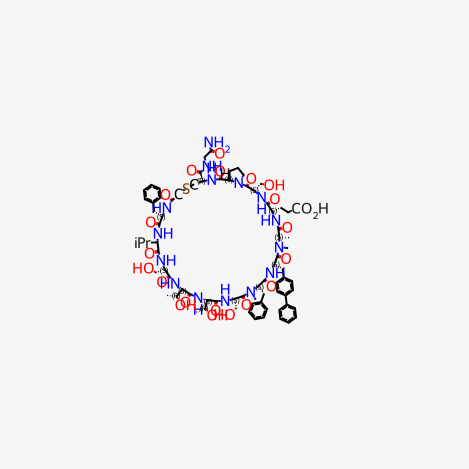 CC(C)C1NC(=O)[C@H](Cc2ccccc2)NC(=O)CSC[C@@H](C(=O)NCC(N)=O)NC(=O)[C@@H]2CCCN2C(=O)[C@H](CO)NC(=O)[C@H](CCC(=O)O)NC(=O)[C@H](C)N(C)C(=O)[C@H](Cc2ccc(-c3ccccc3)cc2)NC(=O)[C@H](Cc2ccccc2)N(C)C(=O)[C@H](CO)NC(=O)[C@H]([C@@H](C)O)NC(=O)[C@H]([C@@H](C)O)NC(=O)[C@H](CO)NC1=O